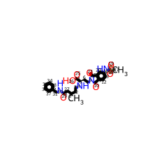 C[C@@H](CCN[C@H](CCN1C(=O)c2ccc(NS(C)(=O)=O)cc2C1=O)C(=O)O)CC(=O)NCc1ccccc1